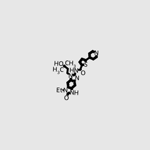 CCn1c(=O)[nH]c2cc3nc(NC(=O)c4ccc(-c5ccncc5)s4)n(CCC(C)(C)O)c3cc21